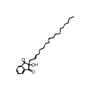 CCCCCCCCCCCCCCCC=CCC1(O)C(=O)c2ccccc2C1=O